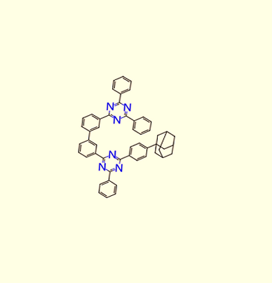 c1ccc(-c2nc(-c3ccccc3)nc(-c3cccc(-c4cccc(-c5nc(-c6ccccc6)nc(-c6ccc(C78CC9CC(CC(C9)C7)C8)cc6)n5)c4)c3)n2)cc1